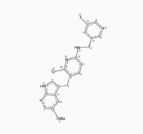 COc1cnc2[nH]cc(Cc3ccc(NCc4cncc(F)c4)nc3Cl)c2c1